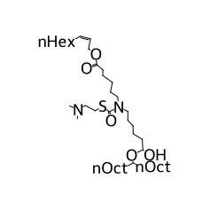 CCCCCC/C=C\COC(=O)CCCCCN(CCCCCC(O)OC(CCCCCCCC)CCCCCCCC)C(=O)SCCN(C)C